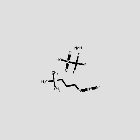 C[N+](C)(C)CCCN=[N+]=[N-].O=S(=O)(O)C(F)(F)F.[NaH]